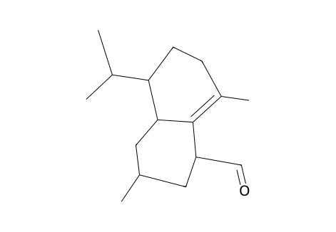 CC1=C2C(C=O)CC(C)CC2C(C(C)C)CC1